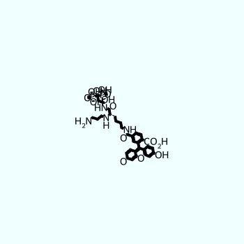 NCCCN[C@@H](CCCCNC(=O)c1ccc(C(=O)O)c(-c2c3ccc(=O)cc-3oc3cc(O)ccc23)c1)C(=O)NCCC(O)(P(=O)(O)O)P(=O)(O)O